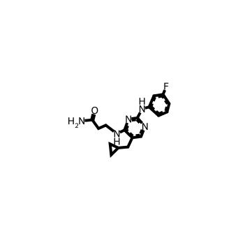 NC(=O)CCNc1nc(Nc2cccc(F)c2)ncc1CC1CC1